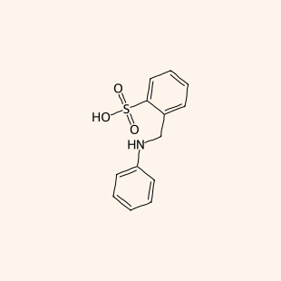 O=S(=O)(O)c1ccccc1CNc1ccccc1